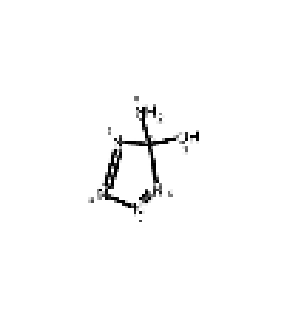 NC1(O)N=NN=N1